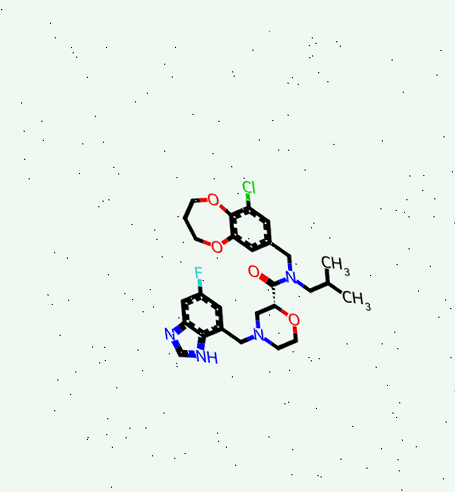 CC(C)CN(Cc1cc(Cl)c2c(c1)OCCCO2)C(=O)[C@H]1CN(Cc2cc(F)cc3nc[nH]c23)CCO1